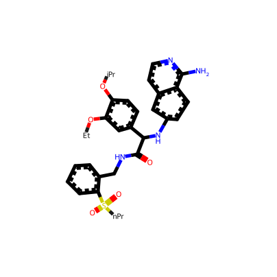 CCCS(=O)(=O)c1ccccc1CNC(=O)C(Nc1ccc2c(N)nccc2c1)c1ccc(OC(C)C)c(OCC)c1